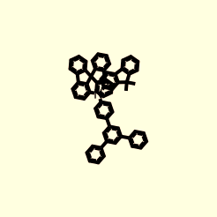 CC1(C)c2ccccc2-c2ccc(N(c3ccc(-c4cc(-c5ccccc5)cc(-c5ccccc5)c4)cc3)c3cccc4c3C3(c5ccccc5-c5ccccc53)c3ccccc3-4)cc21